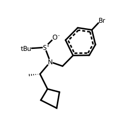 C[C@@H](C1CCC1)N(Cc1ccc(Br)cc1)[S+]([O-])C(C)(C)C